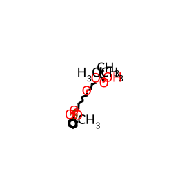 Cc1ccccc1S(=O)(=O)OCCCCCOCCCOC(C(=O)O)C(C)(C)C